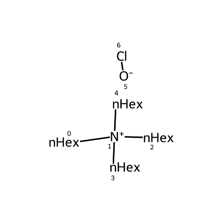 CCCCCC[N+](CCCCCC)(CCCCCC)CCCCCC.[O-]Cl